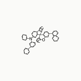 c1ccc(-c2cccc(N(c3ccccc3)c3ccc4c(c3)C3(c5ccccc5Oc5cc(-c6cccc7ccccc67)ccc53)c3ccccc3-4)c2)cc1